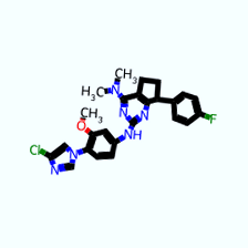 COc1cc(Nc2nc3c(c(N(C)C)n2)CCC3c2ccc(F)cc2)ccc1-n1cnc(Cl)c1